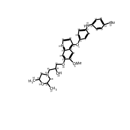 COc1cc2c(Oc3ccc(Nc4ccc(C(C)(C)C)cc4)cc3)ccnc2cc1OCC(O)CN1CC(C)OC(C)C1